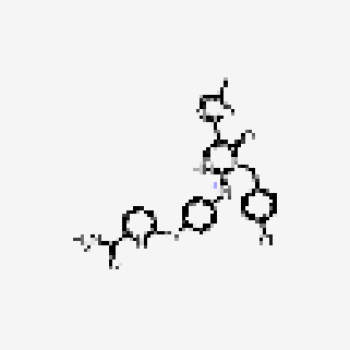 Cc1cnc(-c2c[nH]/c(=N\c3ccc(Oc4cccc(C(N)=O)n4)cc3)n(Cc3ccc(Cl)cc3)c2=O)o1